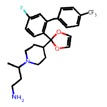 CC(CCN)N1CCC(C2(c3ccc(F)cc3-c3ccc(C(F)(F)F)cc3)OC=CO2)CC1